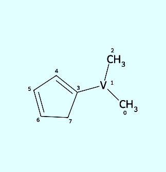 [CH3][V]([CH3])[C]1=CC=CC1